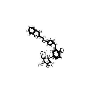 OC[C@H]1O[C@@H](c2ccc(Cl)c(Cc3ccc(OCC4Cc5ccccc5O4)cc3)c2)C[C@@H](O)[C@@H]1O